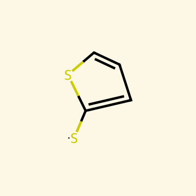 [S]c1cccs1